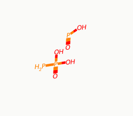 O=P(O)(O)P.O=PO